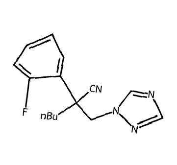 CCCCC(C#N)(Cn1cncn1)c1ccccc1F